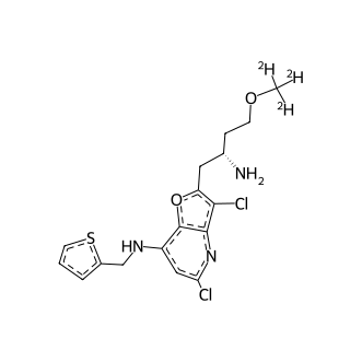 [2H]C([2H])([2H])OCC[C@H](N)Cc1oc2c(NCc3cccs3)cc(Cl)nc2c1Cl